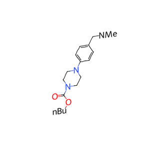 CCCCOC(=O)N1CCN(c2ccc(CNC)cc2)CC1